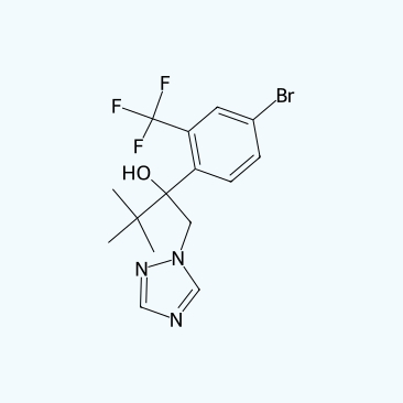 CC(C)(C)C(O)(Cn1cncn1)c1ccc(Br)cc1C(F)(F)F